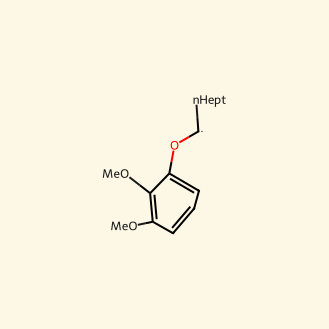 CCCCCCC[CH]Oc1cccc(OC)c1OC